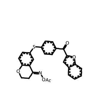 CC(=O)O/N=C1\CCOc2ccc(Sc3ccc(C(=O)c4cc5ccccc5o4)cc3)cc21